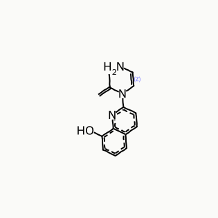 C=C(C)N(/C=C\N)c1ccc2cccc(O)c2n1